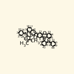 CC1=C(C)C2B3c4oc5cc6c(cc5c4Sc4cccc(c43)N(c3ccccc3)C2O1)Oc1cccc2c1B6c1ccccc1N2c1ccccc1